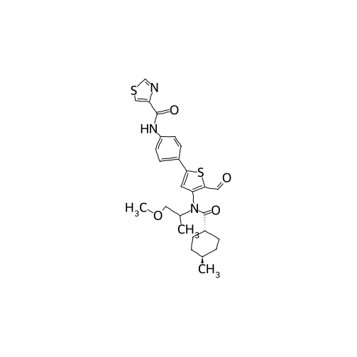 COCC(C)N(c1cc(-c2ccc(NC(=O)c3cscn3)cc2)sc1C=O)C(=O)[C@H]1CC[C@H](C)CC1